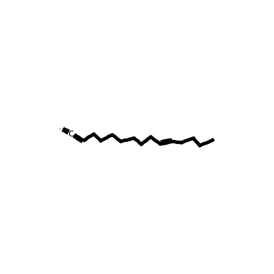 [CH]=C=CCCCCCCCC=CCCCC